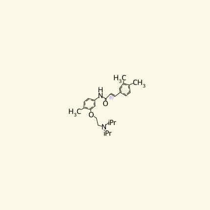 Cc1ccc(/C=C/C(=O)Nc2ccc(C)c(OCCN(C(C)C)C(C)C)c2)cc1C